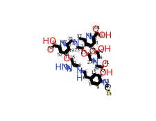 N=N/C(=C\NCCc1ccc(N=C=S)cc1)COc1cc(CN(CCOCCN(CC(=O)O)CC(=O)O)Cc2cccc(C(=O)O)n2)nc(C(=O)O)c1